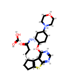 NC(=O)CC[C@H]1CCc2sc3ncnc(OC4CCC(N5CCOCC5)CC4)c3c21.O=CO